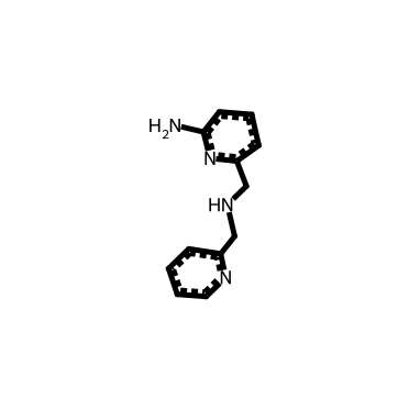 Nc1cccc(CNCc2ccccn2)n1